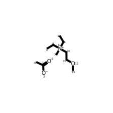 CC(=O)[O-].CC[N+](C)(CC)CCOC